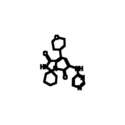 O=C1NC2(CCCCC2)n2c1c(C1CCOCC1)cc(Nc1ccncn1)c2=O